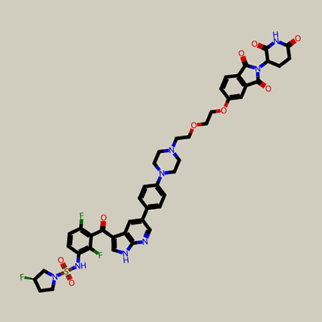 O=C1CCC(N2C(=O)c3ccc(OCCOCCN4CCN(c5ccc(-c6cnc7[nH]cc(C(=O)c8c(F)ccc(NS(=O)(=O)N9CC[C@@H](F)C9)c8F)c7c6)cc5)CC4)cc3C2=O)C(=O)N1